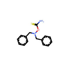 NC(=S)ON(Cc1ccccc1)Cc1ccccc1